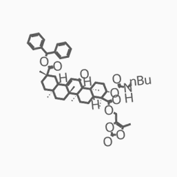 CCCCNC(=O)O[C@H]1CC[C@@]2(C)[C@@H](CC[C@]3(C)[C@@H]2C(=O)C=C2[C@@H]4C[C@@](C)(C(=O)OC(c5ccccc5)c5ccccc5)CC[C@]4(C)CC[C@]23C)[C@]1(C)C(=O)OCc1oc(=O)oc1C